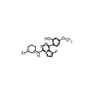 CCN1CCC[C@@H](Nc2nnc(-c3ccc(OC(F)(F)F)cc3O)c3c(F)ccn23)C1